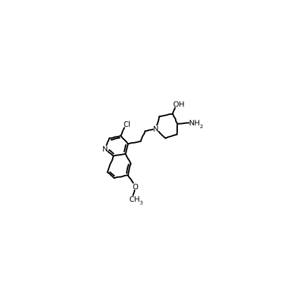 COc1ccc2ncc(Cl)c(CCN3CCC(N)C(O)C3)c2c1